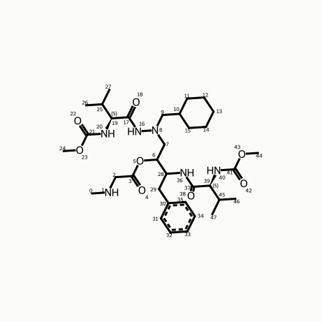 CNCC(=O)OC(CN(CC1CCCCC1)NC(=O)[C@@H](NC(=O)OC)C(C)C)C(Cc1ccccc1)NC(=O)[C@@H](NC(=O)OC)C(C)C